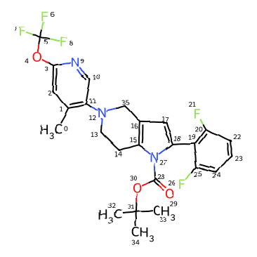 Cc1cc(OC(F)(F)F)ncc1N1CCc2c(cc(-c3c(F)cccc3F)n2C(=O)OC(C)(C)C)C1